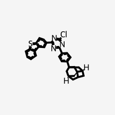 Clc1nc(-c2ccc(C34C[C@@H]5CC6C[C@@H](C3)[C@@]6(C5)C4)cc2)nc(-c2ccc3sc4ccccc4c3c2)n1